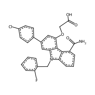 NC(=O)c1cccc2c1c1c(OCC(=O)O)cc(-c3ccc(Cl)cc3)cc1n2Cc1ccccc1F